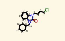 O=c1n(CC=CCCl)c2ccccc2n1CC1CCCCC1